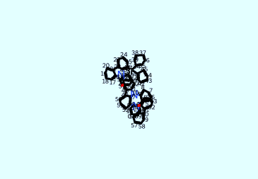 c1ccc(-c2ccccc2-n2c3ccc(-n4c5ccccc5c5cccc([Si](c6ccccc6)(c6ccccc6)c6ccccc6)c54)cc3c3cccc(-n4c5ccccc5c5ccccc54)c32)cc1